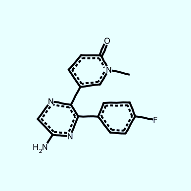 Cn1cc(-c2ncc(N)nc2-c2ccc(F)cc2)ccc1=O